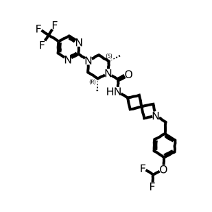 C[C@@H]1CN(c2ncc(C(F)(F)F)cn2)C[C@H](C)N1C(=O)NC1CC2(C1)CN(Cc1ccc(OC(F)F)cc1)C2